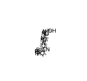 N#CC1(Cc2ccccc2S(F)(F)(F)(F)F)CCN(c2ccc(-c3nnc(CO)o3)nn2)CC1